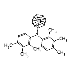 Cc1ccc(P(c2ccc(C)c(C)c2C)[C]23[CH]4[CH]5[CH]6[CH]2[Ti]56432789[CH]3[CH]2[CH]7[CH]8[CH]39)c(C)c1C